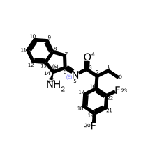 CCC(C(=O)/N=C1\Cc2ccccc2[C@@H]1N)c1ccc(F)cc1F